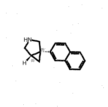 c1ccc2cc([C@@]34CNC[C@H]3C4)ccc2c1